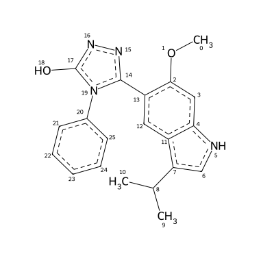 COc1cc2[nH]cc(C(C)C)c2cc1-c1nnc(O)n1-c1ccccc1